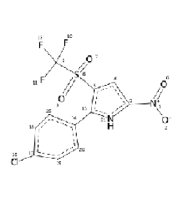 O=[N+]([O-])c1cc(S(=O)(=O)C(F)(F)F)c(-c2ccc(Cl)cc2)[nH]1